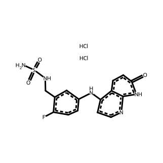 Cl.Cl.NS(=O)(=O)NCc1cc(Nc2ccnc3[nH]c(=O)ccc23)ccc1F